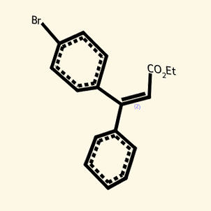 CCOC(=O)/C=C(/c1ccccc1)c1ccc(Br)cc1